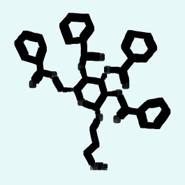 CNCCCO[C@@H]1O[C@H](COC(=O)c2ccccc2)[C@@H](OC(=O)c2ccccc2)[C@H](OC(=O)c2ccccc2)[C@H]1OC(=O)c1ccccc1